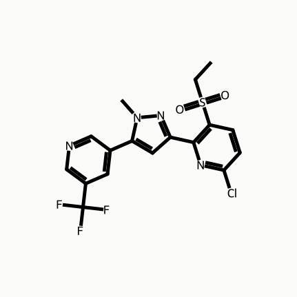 CCS(=O)(=O)c1ccc(Cl)nc1-c1cc(-c2cncc(C(F)(F)F)c2)n(C)n1